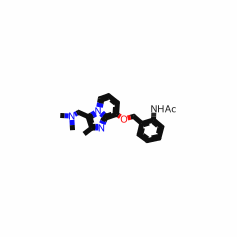 CC(=O)Nc1ccccc1COc1cccn2c(CN(C)C)c(C)nc12